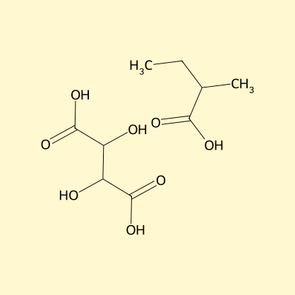 CCC(C)C(=O)O.O=C(O)C(O)C(O)C(=O)O